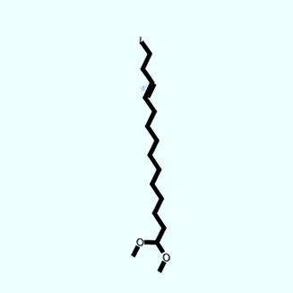 COC(CCCCCCCCC/C=C/CCI)OC